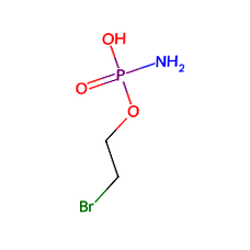 NP(=O)(O)OCCBr